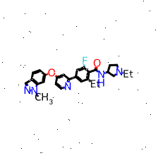 CCc1cc(-c2cc(Oc3ccc4cnn(C)c4c3)ccn2)cc(F)c1C(=O)NC1CCN(CC)C1